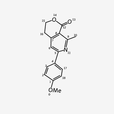 COc1ccc(-c2cc3c(c(C)n2)C(=O)OCC3)cc1